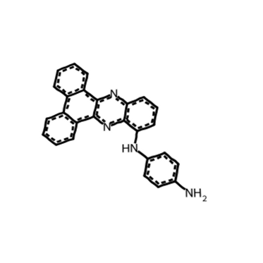 Nc1ccc(Nc2cccc3nc4c5ccccc5c5ccccc5c4nc23)cc1